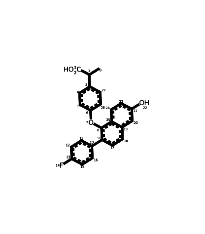 CC(C(=O)O)c1ccc(Oc2c(-c3ccc(F)cc3)ccc3cc(O)ccc23)cc1